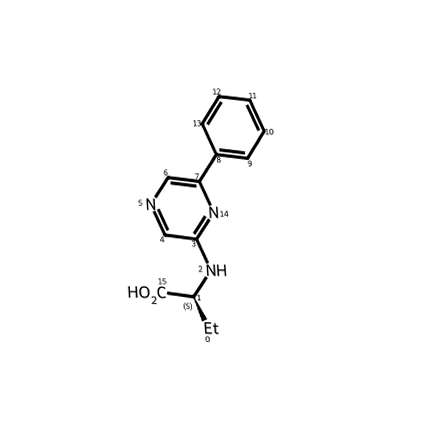 CC[C@H](Nc1cncc(-c2ccccc2)n1)C(=O)O